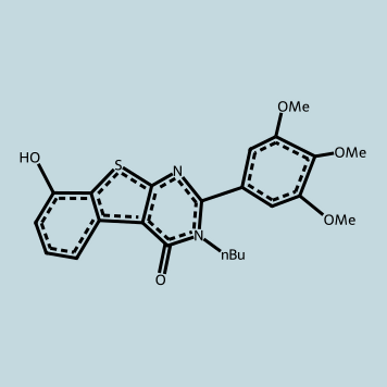 CCCCn1c(-c2cc(OC)c(OC)c(OC)c2)nc2sc3c(O)cccc3c2c1=O